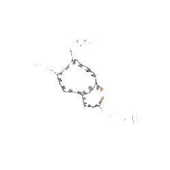 COc1cc2sc(C(=O)O)cc2cc1O